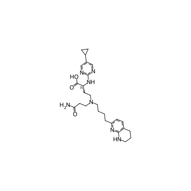 NC(=O)CCN(CCCCc1ccc2c(n1)NCCC2)CC[C@H](Nc1ncc(C2CC2)cn1)C(=O)O